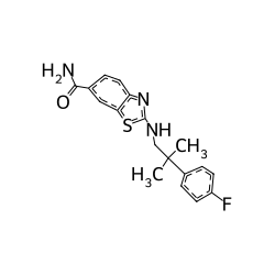 CC(C)(CNc1nc2ccc(C(N)=O)cc2s1)c1ccc(F)cc1